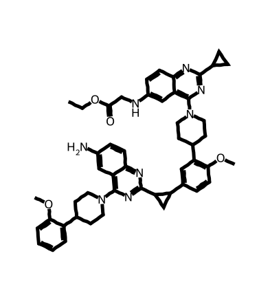 CCOC(=O)CNc1ccc2nc(C3CC3)nc(N3CCC(c4cc(C5CC5c5nc(N6CCC(c7ccccc7OC)CC6)c6cc(N)ccc6n5)ccc4OC)CC3)c2c1